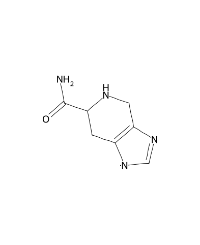 NC(=O)C1CC2=C(CN1)N=C[N]2